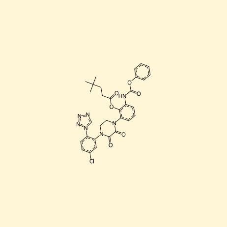 CC(C)(C)CCC(=O)Oc1c(NC(=O)Oc2ccccc2)cccc1N1CCN(c2cc(Cl)ccc2-n2cnnn2)C(=O)C1=O